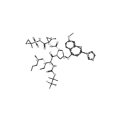 CCC[C@@H](C)C[C@@H](CC)[C@H](NC(=O)OC(C)(C)C(F)(F)F)C(=O)N1C[C@H](Oc2cc(-n3ccnc3)nc3cc(OC)ccc23)C[C@H]1C(=O)N[C@]1(C(=O)NS(=O)(=O)C2(C)CC2)C[C@H]1C